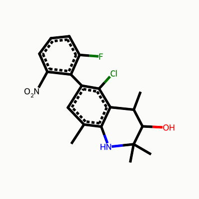 Cc1cc(-c2c(F)cccc2[N+](=O)[O-])c(Cl)c2c1NC(C)(C)C(O)C2C